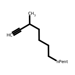 C#CC(C)CCCCCCCCC